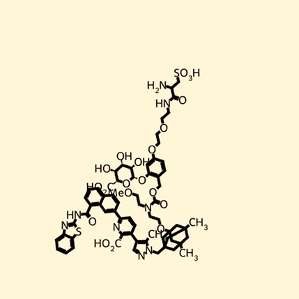 COCCN(CCOC12CC3(C)CC(C)(CC(Cn4ncc(-c5ccc(-c6ccc7cccc(C(=O)Nc8nc9ccccc9s8)c7c6)nc5C(=O)O)c4C)(C3)C1)C2)C(=O)OCc1ccc(OCCOCCNC(=O)C(N)CS(=O)(=O)O)cc1O[C@@H]1O[C@H](C(=O)O)[C@@H](O)[C@H](O)[C@H]1O